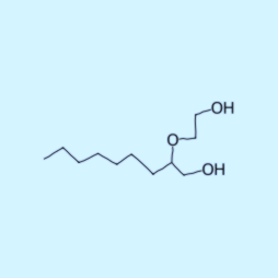 CCCCCCCC(CO)OCCO